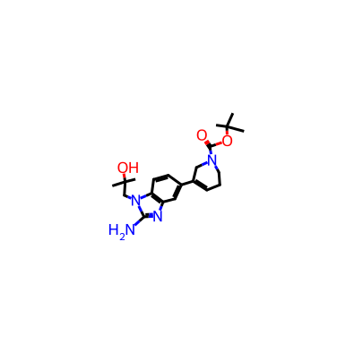 CC(C)(O)Cn1c(N)nc2cc(C3=CCCN(C(=O)OC(C)(C)C)C3)ccc21